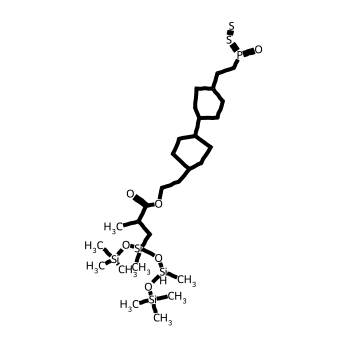 CC(C[Si](C)(O[SiH](C)O[Si](C)(C)C)O[Si](C)(C)C)C(=O)OCCC1CCC(C2CCC(CCP(=O)=S=S)CC2)CC1